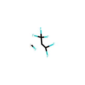 FC(F)CC(F)(F)F.[C]F